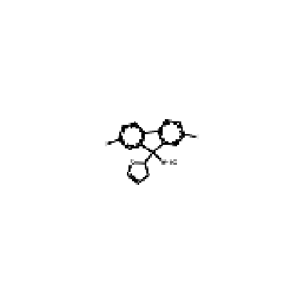 CCCCCCC1(C2CC=CS2)c2cc(I)ccc2-c2ccc(I)cc21